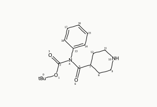 CC(C)(C)OC(=O)N(C(=O)C1CCNCC1)c1ccccc1